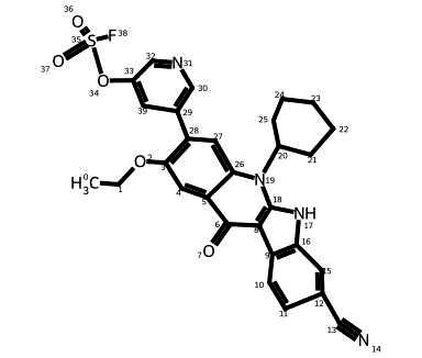 CCOc1cc2c(=O)c3c4ccc(C#N)cc4[nH]c3n(C3CCCCC3)c2cc1-c1cncc(OS(=O)(=O)F)c1